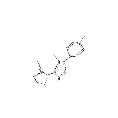 Cc1ccc(-c2cnc(C3CCCN3C)n2C)cc1